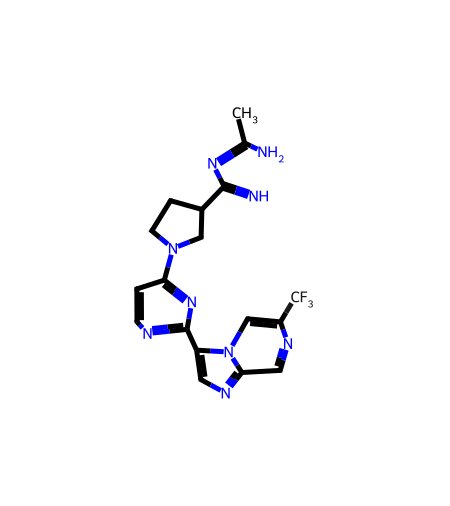 C/C(N)=N/C(=N)C1CCN(c2ccnc(-c3cnc4cnc(C(F)(F)F)cn34)n2)C1